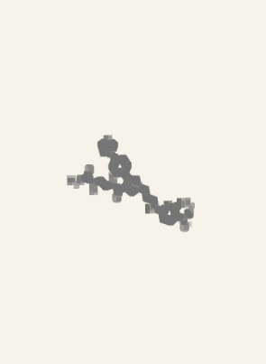 CC(=O)NCCNC(=O)c1cn(CCCNc2ccc([N+](=O)[O-])c(N)n2)cc1-c1ccc(-n2ccnc2)cc1